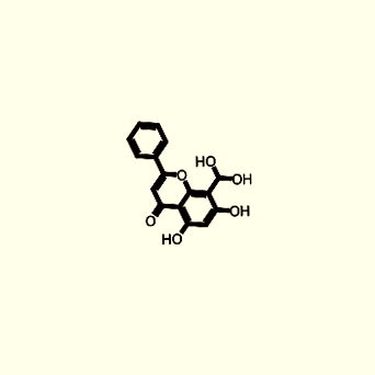 O=c1cc(-c2ccccc2)oc2c(C(O)O)c(O)cc(O)c12